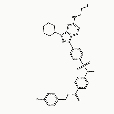 CCCCNc1ncc2c(-c3ccc(S(=O)(=O)N(C)c4ccc(C(=O)NCc5ccc(F)cc5)cc4)cc3)nn(C3CCCCC3)c2n1